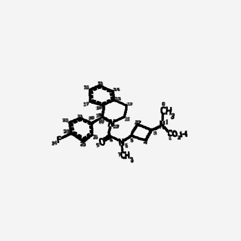 CN(C(=O)O)C1CC(N(C)C(=O)N2CCc3ccccc3[C@@H]2c2ccc(F)cc2)C1